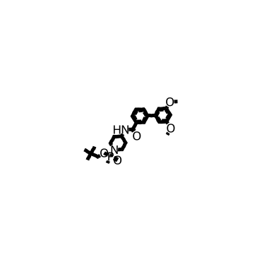 COc1cc(OC)cc(-c2cccc(C(=O)NC3CCN(P(C)(=O)OCC(C)(C)C)CC3)c2)c1